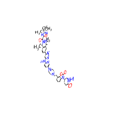 Cc1cc(-c2cc(Nc3ccc(N4CCN(CCc5cccc6c5oc(=O)n6C5CCC(=O)NC5)CC4)cn3)ncn2)ccc1[C@@H](C)NC(=O)c1nc(C(C)(C)C)no1